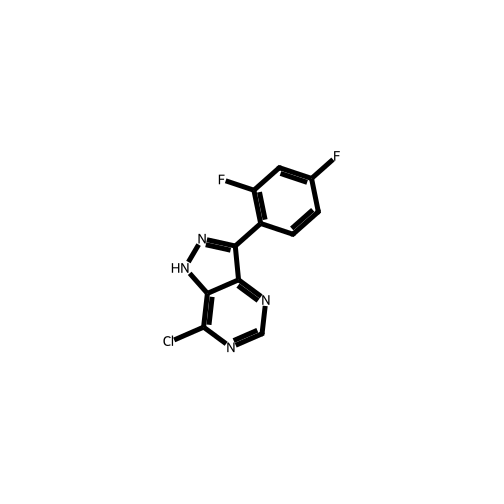 Fc1ccc(-c2n[nH]c3c(Cl)ncnc23)c(F)c1